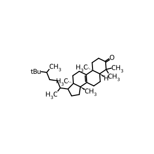 CC(CCC(C)C(C)(C)C)C1CC[C@@]2(C)C3=C(CC[C@]12C)[C@@]1(C)CCC(=O)C(C)(C)[C@@H]1CC3